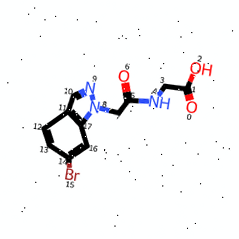 O=C(O)CNC(=O)Cn1ncc2ccc(Br)cc21